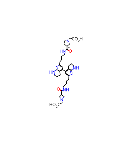 O=C(O)CN1CC(C(=O)NCCCCc2cc(-c3cc(CCCCNC(=O)[C@H]4CCN(CC(=O)O)C4)nc4c3CCCN4)c3c(n2)NCCC3)C1